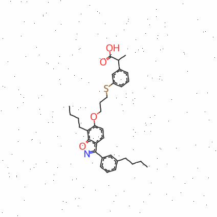 CCCCc1cccc(-c2noc3c(CCCC)c(OCCCSc4cccc(C(C)C(=O)O)c4)ccc23)c1